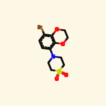 O=S1(=O)CCN(c2ccc(Br)c3c2OCCO3)CC1